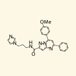 COc1ccc(-c2cc(-c3ccccc3)nc3cc(C(=O)NCCCn4ccnc4)nn23)cc1